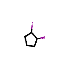 IC1CCC[C@@H]1I